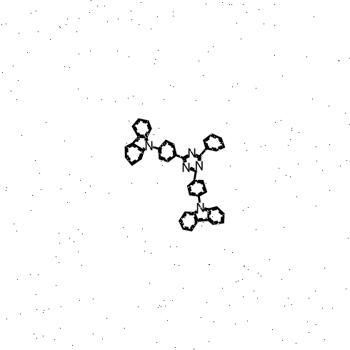 c1ccc(-c2nc(-c3ccc(-n4c5ccccc5c5ccccc54)cc3)nc(-c3ccc(-n4c5ccccc5c5ccccc54)cc3)n2)cc1